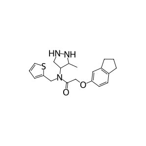 CC1NNCC1N(Cc1cccs1)C(=O)COc1ccc2c(c1)CCC2